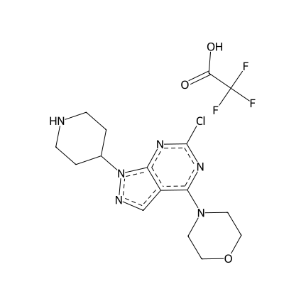 Clc1nc(N2CCOCC2)c2cnn(C3CCNCC3)c2n1.O=C(O)C(F)(F)F